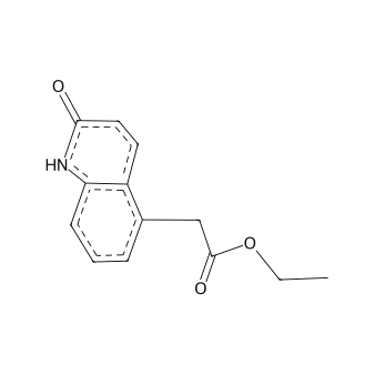 CCOC(=O)Cc1cccc2[nH]c(=O)ccc12